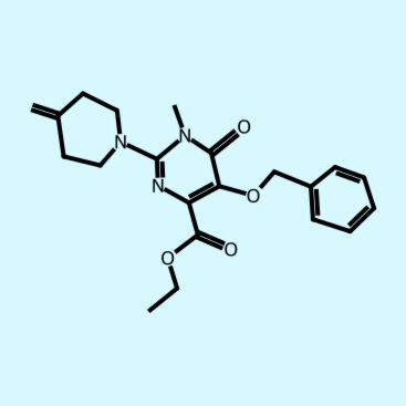 C=C1CCN(c2nc(C(=O)OCC)c(OCc3ccccc3)c(=O)n2C)CC1